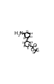 CC(C)(C)OC(=O)N1CCCC(c2cccc(N)c2)C1